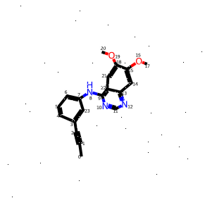 CC#Cc1cccc(Nc2ncnc3cc(OC)c(OC)cc23)c1